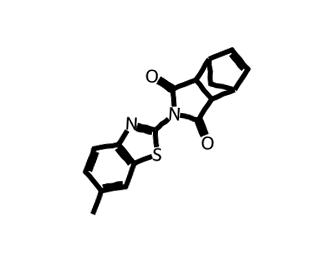 Cc1ccc2nc(N3C(=O)C4C5C=CC(C5)C4C3=O)sc2c1